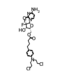 Nc1ccn(C2O[C@H](COC(=O)CCCc3ccc(N(CCCl)CCCl)cc3)[C@H](O)C2(F)F)c(=O)n1